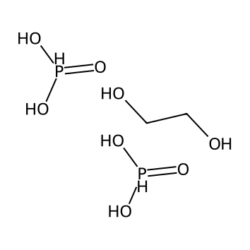 O=[PH](O)O.O=[PH](O)O.OCCO